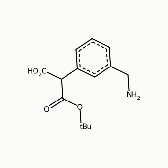 CC(C)(C)OC(=O)C(C(=O)O)c1cccc(CN)c1